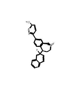 Cc1ccc(-c2ccc3c(c2)CNCCC3C2(F)C=Cc3ccccc3C2)nn1